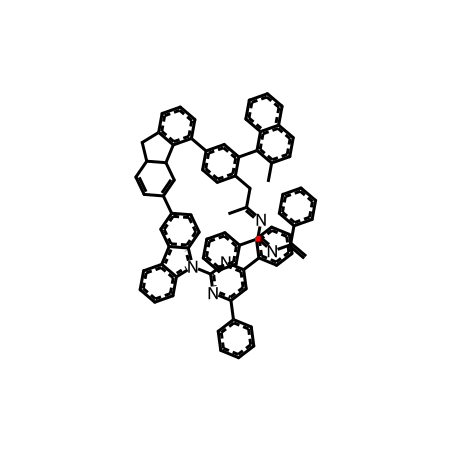 C=C(/N=C(\N=C(/C)Cc1ccc(-c2cccc3c2C2C=C(c4ccc5c(c4)c4ccccc4n5-c4nc(-c5ccccc5)cc(-c5ccccc5)n4)C=CC2C3)cc1-c1c(C)ccc2ccccc12)c1ccccc1)c1ccccc1